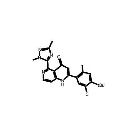 Cc1nc(-c2nccc3[nH]c(-c4cc(Cl)c(C(C)(C)C)cc4C)cc(=O)c23)n(C)n1